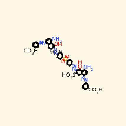 Nc1ccc(N=Nc2cccc(C(=O)O)c2)c2cc(S(=O)(=O)O)c(N=Nc3ccc(S(=O)(=O)c4ccc(N=Nc5c(S(=O)(=O)O)cc6c(N=Nc7cccc(C(=O)O)c7)ccc(N)c6c5O)cc4)cc3)c(O)c12